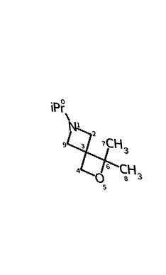 CC(C)N1CC2(COC2(C)C)C1